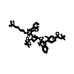 CNCCCCCc1nc(N2C[C@@H](Oc3nc4ccccc4n3C3CCN(C(=O)CC(C)(C)C)C[C@@H]3C)C[C@H]2C(=O)OC(C)(C)C)c2oc3ccccc3c2n1